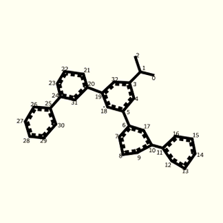 CC(C)c1cc(-c2cccc(-c3ccccc3)c2)[c]c(-c2cccc(-c3ccccc3)c2)c1